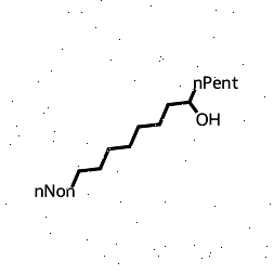 CCCCCCCCCCCCCCCCC(O)CCCCC